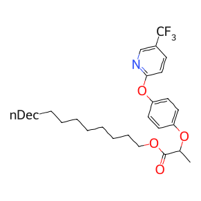 CCCCCCCCCCCCCCCCCCOC(=O)C(C)Oc1ccc(Oc2ccc(C(F)(F)F)cn2)cc1